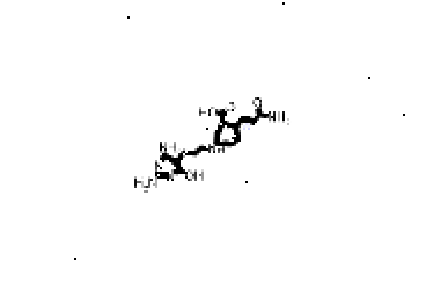 NC(=O)/C=C/c1ccc(NCCCc2c(N)nc(N)nc2O)cc1C(=O)O